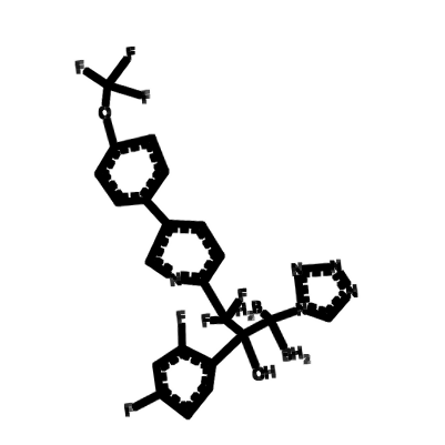 BC(B)(n1cnnn1)C(O)(c1ccc(F)cc1F)C(F)(F)c1ccc(-c2ccc(OC(F)(F)F)cc2)cn1